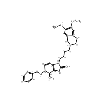 COc1cc2c(cc1OC)CN(CCCCn1c3c(oc1=O)C(C)C(OCc1ccccc1)C=C3)CC2